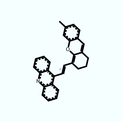 Cc1ccc2c(c1)OC1=C(/C=C/c3c4ccccc4nc4ccccc34)CCCC1=C2